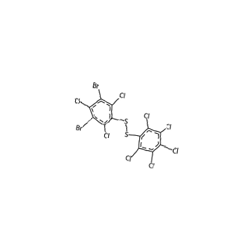 Clc1c(Cl)c(Cl)c(SSc2c(Cl)c(Br)c(Cl)c(Br)c2Cl)c(Cl)c1Cl